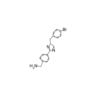 NCc1ccc(C2=NC(Cc3ccc(Br)cc3)C=N2)cc1